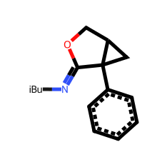 CCC(C)/N=C1\OCC2CC12c1ccccc1